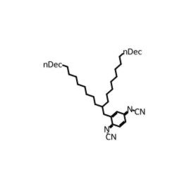 CCCCCCCCCCCCCCCCCCC(CCCCCCCCCCCCCCCCCC)CC1=CC(=NC#N)C=CC1=NC#N